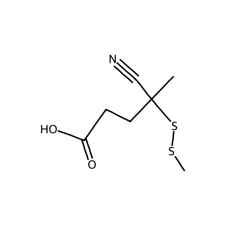 CSSC(C)(C#N)CCC(=O)O